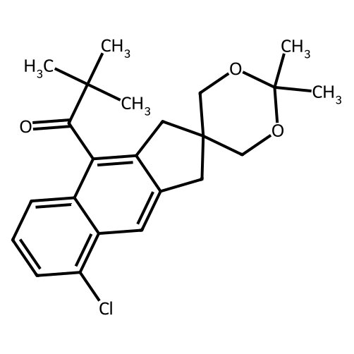 CC1(C)OCC2(CO1)Cc1cc3c(Cl)cccc3c(C(=O)C(C)(C)C)c1C2